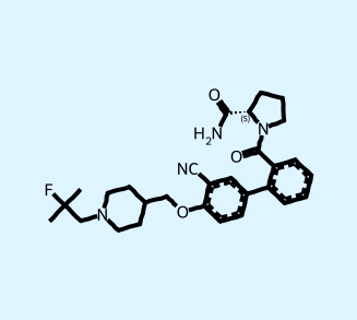 CC(C)(F)CN1CCC(COc2ccc(-c3ccccc3C(=O)N3CCC[C@H]3C(N)=O)cc2C#N)CC1